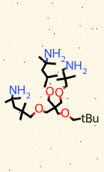 CC(COCC(COCC(C)(C)C)(COCC(C)(C)CN)COCC(C)(C)CC(C)(C)N)CC(C)(C)N